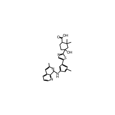 Cc1cc(Nc2nc(C)cc3cccnc23)cc(-c2cnc(C3(O)CCC(C(=O)O)C(C)(C)C3)s2)c1